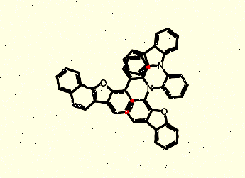 c1ccc(N(c2ccccc2-n2c3ccccc3c3ccccc32)c2cccc3c2oc2ccccc23)c(-c2cccc3c2oc2c4ccccc4ccc32)c1